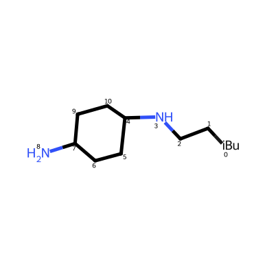 CCC(C)CCNC1CCC(N)CC1